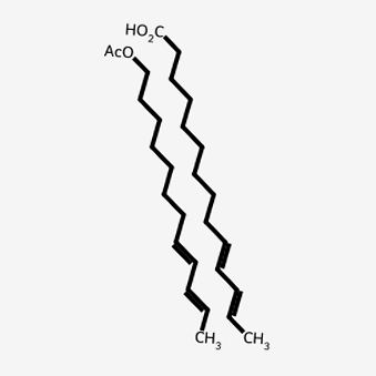 CC=CC=CCCCCCCCCC(=O)O.CC=CC=CCCCCCCCOC(C)=O